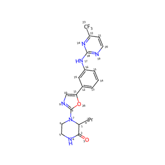 CC(C)C1C(=O)NCCN1c1ncc(-c2cccc(Nc3nccc(C(F)(F)F)n3)c2)o1